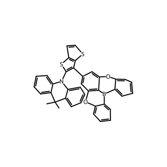 CC1(C)c2ccccc2N(c2sc3ccsc3c2-c2cc3c4c(c2)Oc2ccccc2B4c2ccccc2O3)c2ccccc21